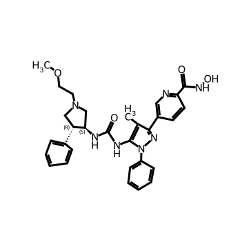 COCCN1C[C@@H](NC(=O)Nc2c(C)c(-c3ccc(C(=O)NO)nc3)nn2-c2ccccc2)[C@H](c2ccccc2)C1